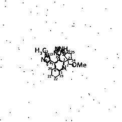 COCC1(c2nc3c(c(-c4cnn(C)c4)c2-c2nn[nH]n2)CCCC3)CCCC1